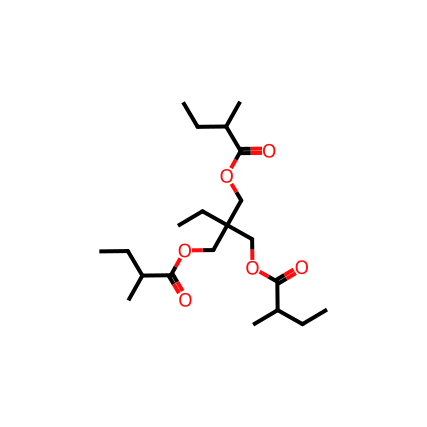 CCC(C)C(=O)OCC(CC)(COC(=O)C(C)CC)COC(=O)C(C)CC